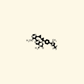 COc1ncnc(C2CC2)c1-c1ncc2c(n1)N(C1(c3ccc(-c4nc(C(F)(F)F)cn4C)cc3)CC1)CC(=O)N2C